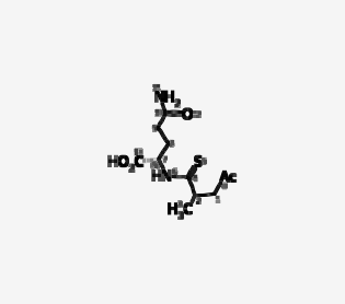 CC(=O)CC(C)C(=S)N[C@@H](CCC(N)=O)C(=O)O